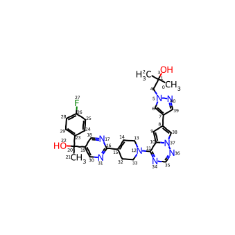 CC(C)(O)Cn1cc(-c2cc3c(N4CC=C(c5ncc(C(C)(O)c6ccc(F)cc6)cn5)CC4)ncnn3c2)cn1